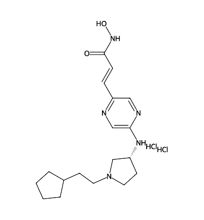 Cl.Cl.O=C(C=Cc1cnc(N[C@@H]2CCN(CCC3CCCC3)C2)cn1)NO